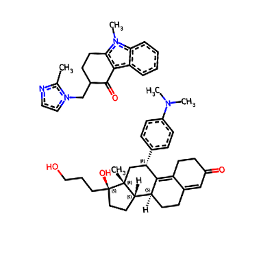 CN(C)c1ccc([C@H]2C[C@]3(C)[C@@H](CC[C@]3(O)CCCO)[C@@H]3CCC4=CC(=O)CCC4=C32)cc1.Cc1nccn1CC1CCc2c(c3ccccc3n2C)C1=O